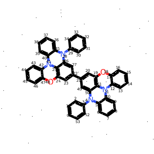 c1ccc(N2c3ccccc3N3c4ccccc4Oc4cc(-c5cc6c7c(c5)N(c5ccccc5)c5ccccc5N7c5ccccc5O6)cc2c43)cc1